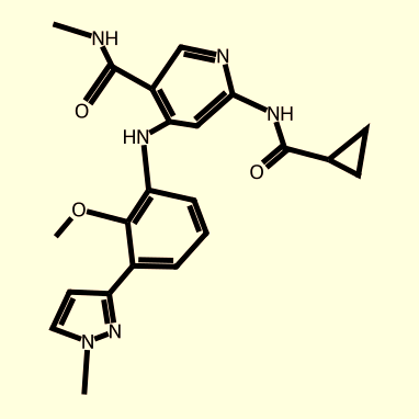 CNC(=O)c1cnc(NC(=O)C2CC2)cc1Nc1cccc(-c2ccn(C)n2)c1OC